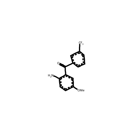 COc1ccc(N)c(C(=O)c2cccc(C(F)(F)F)c2)c1